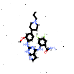 CCCN1CCC(c2ccc(Nc3nc(Nc4cc(F)c(F)cc4C(N)=O)c4ccnc-4[nH]3)c(OC)c2)CC1